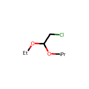 CCOC(CCl)OC(C)C